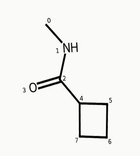 CNC(=O)C1CCC1